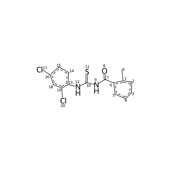 Cc1ccccc1C(=O)NC(=S)Nc1ccc(Cl)cc1Cl